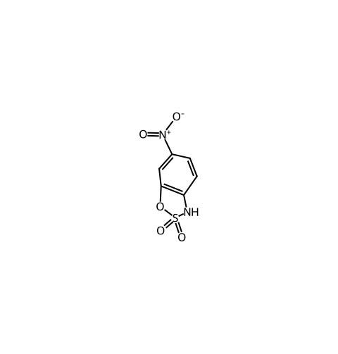 O=[N+]([O-])c1ccc2c(c1)OS(=O)(=O)N2